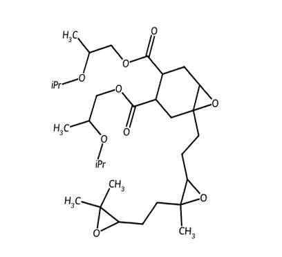 CC(C)OC(C)COC(=O)C1CC2OC2(CCC2OC2(C)CCC2OC2(C)C)CC1C(=O)OCC(C)OC(C)C